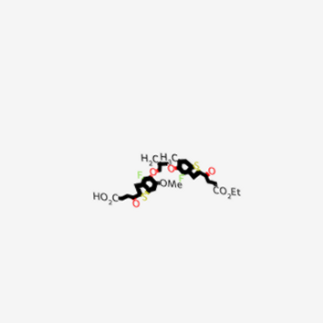 C=C(COc1c(C)cc2sc(C(=O)CCC(=O)OCC)cc2c1F)COc1c(OC)cc2sc(C(=O)CCC(=O)O)cc2c1F